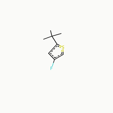 CC(C)(C)c1cc(F)cs1